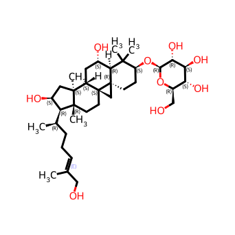 C/C(=C\CC[C@@H](C)[C@H]1[C@@H](O)C[C@@]2(C)[C@@H]3C[C@H](O)[C@H]4C(C)(C)[C@@H](O[C@@H]5O[C@H](CO)[C@@H](O)[C@H](O)[C@H]5O)CC[C@@]45C[C@@]35CC[C@]12C)CO